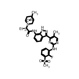 CC[C@H](C(=O)Nc1cccc2c(-c3nc(Nc4cccc(S(C)(=O)=O)c4F)ncc3C)n[nH]c12)N1CC2CCC1CN2C